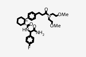 COCCN(CCOC)C(=O)CCc1ccc([C@@H]2CCCC[C@H]2C(=O)NC(C(N)=O)c2ccc(F)cc2)cc1